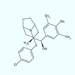 Cc1cc([C@@H](O)[C@@H](C)N2C3CCC2CC(Sc2ccc(Cl)cc2)C3)cc(C)c1O